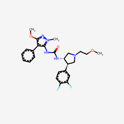 COCCN1C[C@@H](NC(=O)Nc2c(-c3ccccc3)c(OC)nn2C)[C@H](c2ccc(F)c(F)c2)C1